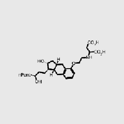 CCCCC[C@H](O)CC[C@@H]1[C@H]2Cc3cccc(OCCNC(CC(=O)O)C(=O)O)c3C[C@H]2C[C@H]1O